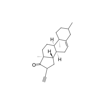 C#CC1C[C@H]2[C@@H]3CC=C4CC(C)CC[C@]4(C)[C@@H]3CC[C@]2(C)C1=O